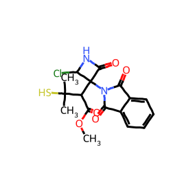 COC(=O)C(C(C)(C)S)C1(N2C(=O)c3ccccc3C2=O)C(=O)NC1Cl